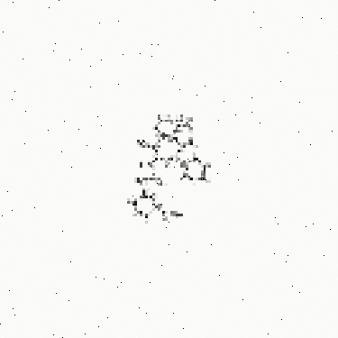 CCOC(=O)CN1C(=O)C(NC(=O)Nc2cccc(OC)c2)C=C(c2ccccc2)c2ccccc21